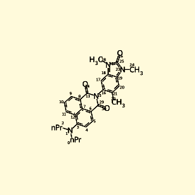 CCCN(CCC)c1ccc2c3c(cccc13)C(=O)N(c1cc3c(cc1C)n(C)c(=O)n3C)C2=O